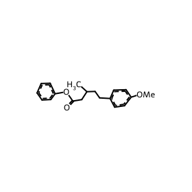 COc1ccc(CCC(C)CC(=O)Oc2ccccc2)cc1